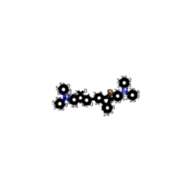 CC1(C)c2cc(-c3ccc4c(c3)c3ccccc3c3c5ccc(N(c6ccccc6)c6ccccc6)cc5sc43)ccc2-c2ccc(N(c3ccccc3)c3ccccc3)cc21